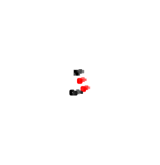 [Co+2].[Ni+2].[O-2].[O-2]